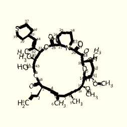 C=CC[C@@H]1/C=C(\C)C[C@H](C)C[C@H](OC)[C@H]2O[C@@](O)(C(=O)C(=O)N3CCCC[C@H]3C(=O)O[C@H](/C(C)=C/C3CCSCC3)[C@H](C)[C@@H](O)CC1=O)[C@H](C)C[C@@H]2OC